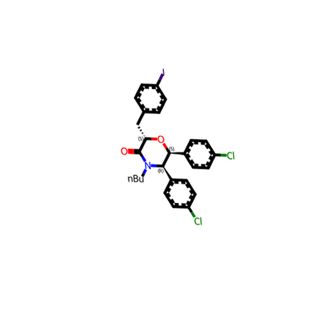 CCCCN1C(=O)[C@H](Cc2ccc(I)cc2)O[C@@H](c2ccc(Cl)cc2)[C@H]1c1ccc(Cl)cc1